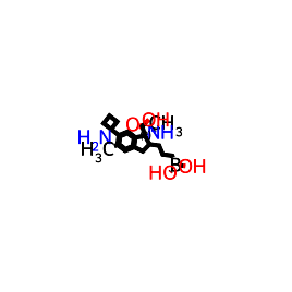 CN[C@@]1(C(=O)O)c2cc(C3(N)CCC3)c(C)cc2CC1CCCB(O)O